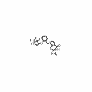 CC(Oc1ccccc1Cn1cnc2c(=O)[nH]c(N)nc21)C(F)(F)P(=O)(O)O